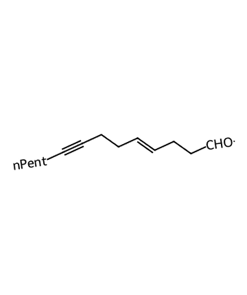 CCCCCC#CCCC=CCC[C]=O